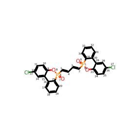 O=P1(/C=C/C=C/P2(=O)Oc3ccc(Cl)cc3-c3ccccc32)Oc2ccc(Cl)cc2-c2ccccc21